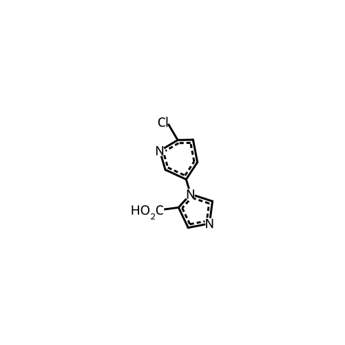 O=C(O)c1cncn1-c1ccc(Cl)nc1